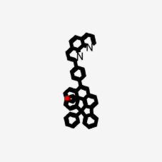 c1ccc(C2(c3ccccc3)c3ccccc3-c3ccc4cc(-c5ccc(-c6ccc7ccc8cccnc8c7n6)cc5)c5ccccc5c4c32)cc1